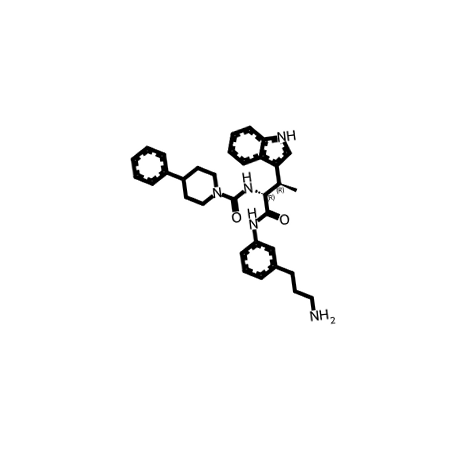 C[C@H](c1c[nH]c2ccccc12)[C@@H](NC(=O)N1CCC(c2ccccc2)CC1)C(=O)Nc1cccc(CCCN)c1